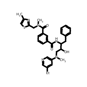 CCc1cncc(N(C)CC(O)C(Cc2ccccc2)NC(=O)c2cccc(C(=O)N(C)Cc3nc(C)cs3)c2)c1